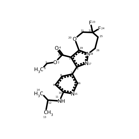 CCOC(=O)c1c(-c2ccc(NC(C)C)nc2)nn2c1OCC(F)(F)CC2